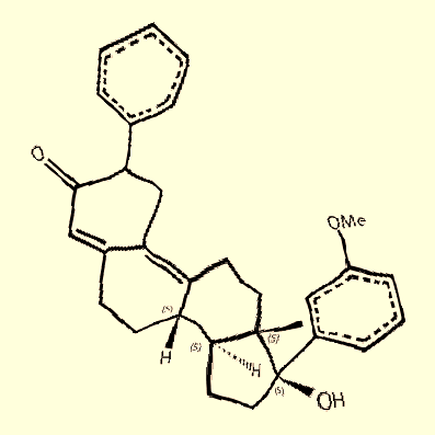 COc1cccc([C@]2(O)CC[C@H]3[C@@H]4CCC5=CC(=O)C(c6ccccc6)CC5=C4CC[C@@]32C)c1